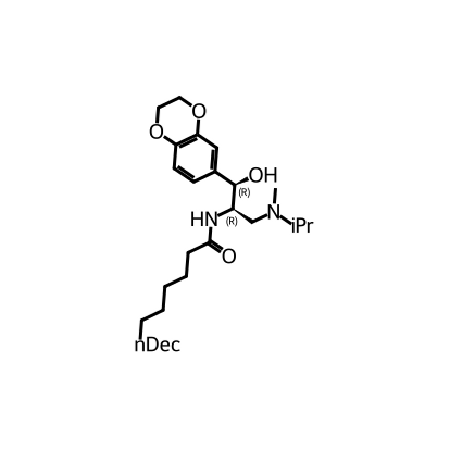 CCCCCCCCCCCCCCCC(=O)N[C@H](CN(C)C(C)C)[C@H](O)c1ccc2c(c1)OCCO2